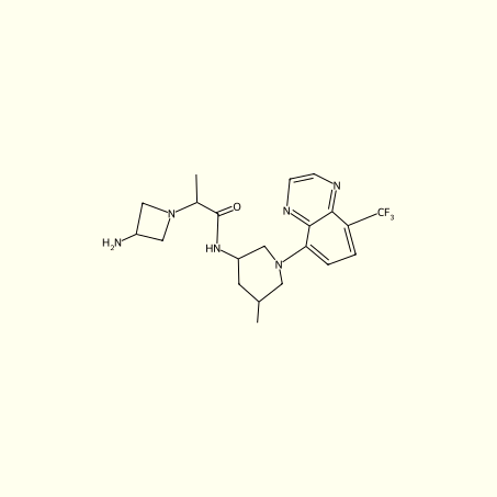 CC1CC(NC(=O)C(C)N2CC(N)C2)CN(c2ccc(C(F)(F)F)c3nccnc23)C1